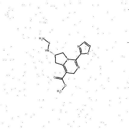 COC(=O)C1=C2C[C@H](NSN)CN2C(c2nccs2)=NC1